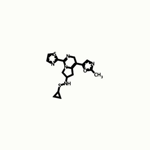 Cc1ncc(C2=C3CC(NSC4CC4)CN3C(c3nccs3)=NC2)o1